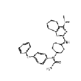 CN(C)c1nc(NC2CCC(N(C(N)=O)c3ccc(Oc4ccccc4)cc3)CC2)nc2c1CCCC2